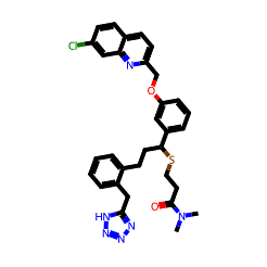 CN(C)C(=O)CCSC(CCc1ccccc1Cc1nnn[nH]1)c1cccc(OCc2ccc3ccc(Cl)cc3n2)c1